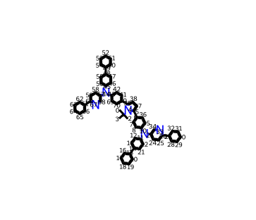 CC(C)(C)n1c(-c2ccc(N(c3ccc(-c4ccccc4)cc3)c3ccc(-c4ccccc4)nc3)cc2)ccc1-c1ccc(N(c2ccc(-c3ccccc3)cc2)c2ccc(-c3ccccc3)nc2)cc1